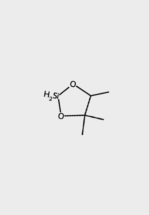 CC1O[SiH2]OC1(C)C